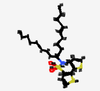 CCCCCCCCC(CCCCCCCC)N1c2ccsc2-c2sccc2S1(=O)=O